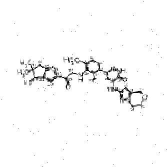 Cc1ccc(-c2cc(Nc3cc4n(n3)CCOC4)c(=O)[nH]n2)c(F)c1NCC(=O)c1cc2c(s1)CC(C)(C)C2O